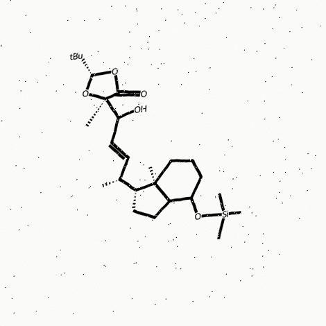 C[C@H](C=CC(O)[C@@]1(C)O[C@H](C(C)(C)C)OC1=O)[C@H]1CCC2C(O[Si](C)(C)C)CCC[C@@]21C